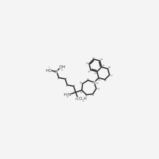 NC(CCCCB(O)O)(C(=O)O)C1CCCN(C2CCCc3ccccc32)CC1